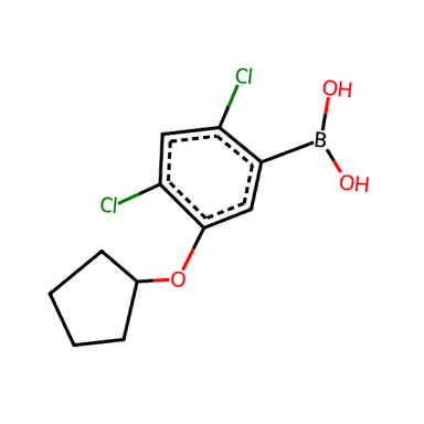 OB(O)c1cc(OC2CCCC2)c(Cl)cc1Cl